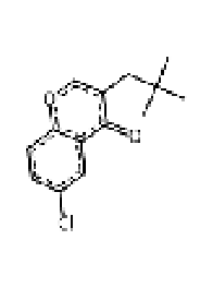 CC(C)(C)Cc1coc2ccc(Cl)cc2c1=O